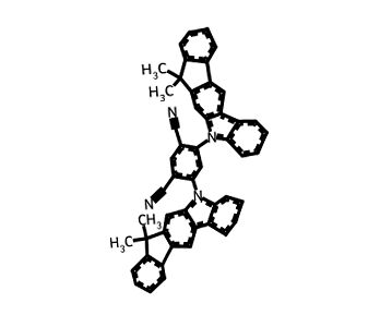 CC1(C)c2ccccc2-c2cc3c4ccccc4n(-c4cc(-n5c6ccccc6c6cc7c(cc65)C(C)(C)c5ccccc5-7)c(C#N)cc4C#N)c3cc21